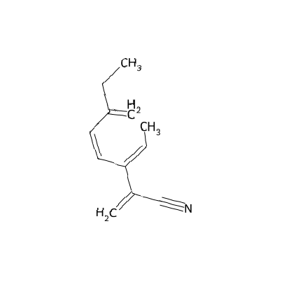 C=C(/C=C\C(=C/C)C(=C)C#N)CC